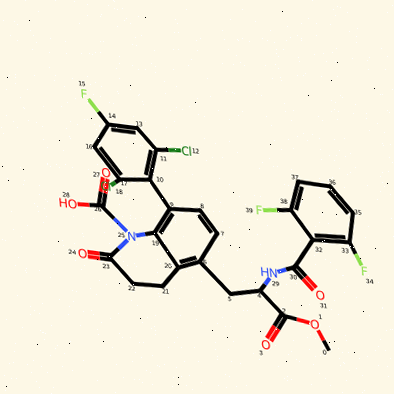 COC(=O)C(Cc1ccc(-c2c(Cl)cc(F)cc2Cl)c2c1CCC(=O)N2C(=O)O)NC(=O)c1c(F)cccc1F